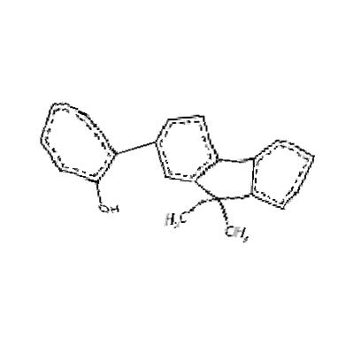 CC1(C)c2ccccc2-c2ccc(-c3ccccc3O)cc21